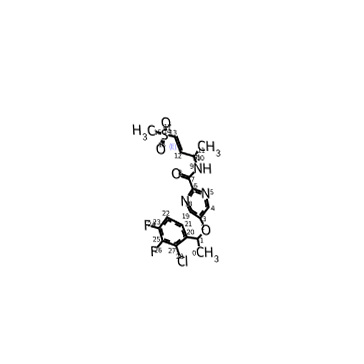 CC(Oc1cnc(C(=O)N[C@H](C)/C=C/S(C)(=O)=O)nc1)c1ccc(F)c(F)c1Cl